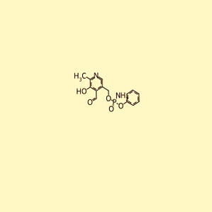 Cc1ncc(COP(N)(=O)Oc2ccccc2)c(C=O)c1O